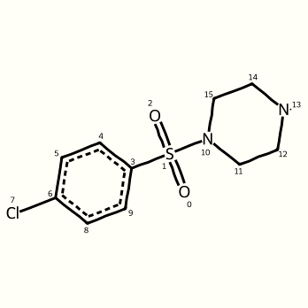 O=S(=O)(c1ccc(Cl)cc1)N1CC[N]CC1